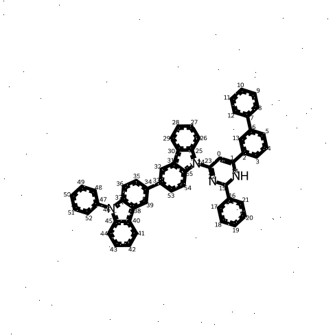 C1=C(c2cccc(-c3ccccc3)c2)NC(c2ccccc2)N=C1n1c2ccccc2c2cc(-c3ccc4c(c3)c3ccccc3n4-c3ccccc3)ccc21